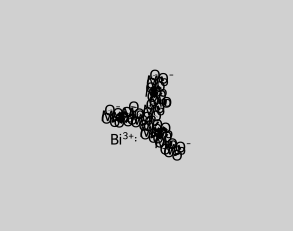 O=P([O][Mo](=[O])(=[O])[O][Mo](=[O])(=[O])[O][Mo](=[O])(=[O])[O][Mo](=[O])(=[O])[O-])([O][Mo](=[O])(=[O])[O][Mo](=[O])(=[O])[O][Mo](=[O])(=[O])[O][Mo](=[O])(=[O])[O-])[O][Mo](=[O])(=[O])[O][Mo](=[O])(=[O])[O][Mo](=[O])(=[O])[O][Mo](=[O])(=[O])[O-].[Bi+3]